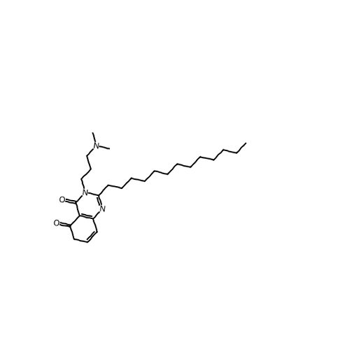 CCCCCCCCCCCCCc1nc2c(c(=O)n1CCCN(C)C)C(=O)CC=C2